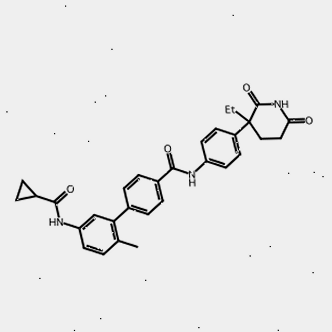 CCC1(c2ccc(NC(=O)c3ccc(-c4cc(NC(=O)C5CC5)ccc4C)cc3)cc2)CCC(=O)NC1=O